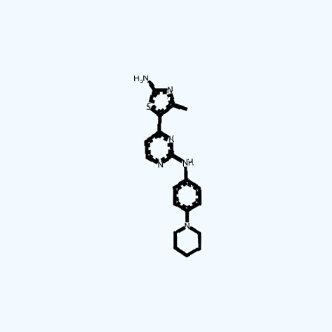 Cc1nc(N)sc1-c1ccnc(Nc2ccc(N3CCCCC3)cc2)n1